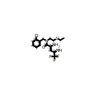 CCSCCN(Cc1ccccc1Cl)C(=O)/C(N)=C/C(=N)C(F)(F)F